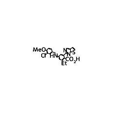 CCc1cc(NCc2ccc(OC)c(Cl)c2)cc(-c2ncc3ccsc3n2)c1C(=O)O